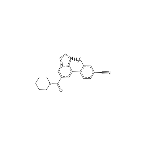 Cc1cc(C#N)ccc1-c1cc(C(=O)N2CCCCC2)cn2ccnc12